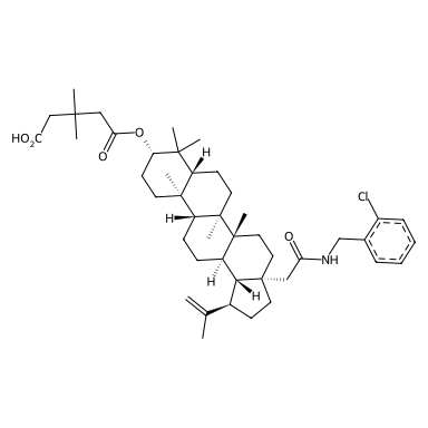 C=C(C)[C@@H]1CC[C@]2(CC(=O)NCc3ccccc3Cl)CC[C@]3(C)[C@H](CC[C@@H]4[C@@]5(C)CC[C@H](OC(=O)CC(C)(C)CC(=O)O)C(C)(C)[C@@H]5CC[C@]43C)[C@@H]12